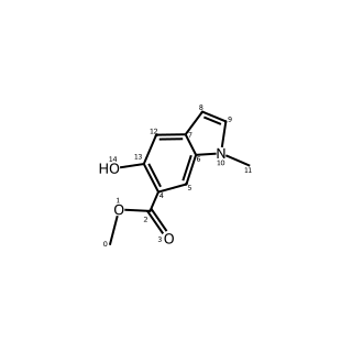 COC(=O)c1cc2c(ccn2C)cc1O